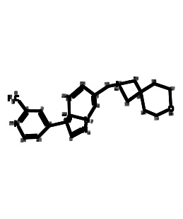 FC(F)(F)c1cc(-c2cnn3cc(CN4CC5(CCOCC5)C4)cnc23)ccn1